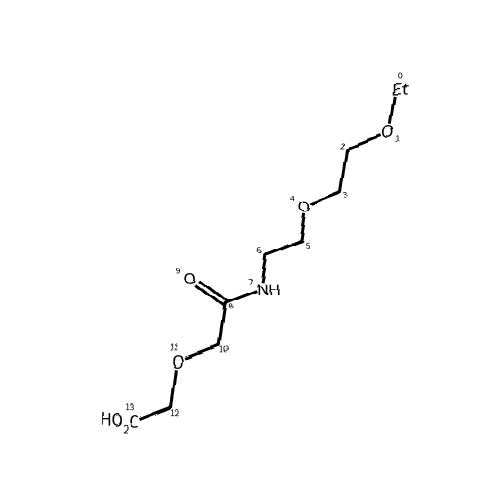 CCOCCOCCNC(=O)COCC(=O)O